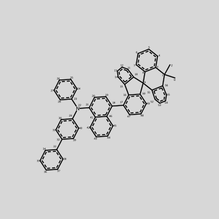 CC1(C)c2ccccc2C2(c3ccccc3-c3c(-c4ccc(N(c5ccccc5)c5ccc(-c6ccccc6)cc5)c5ccccc45)cccc32)c2ccccc21